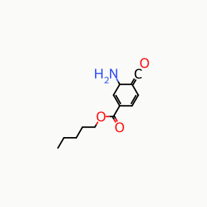 CCCCCOC(=O)C1=CC(N)C(=C=O)C=C1